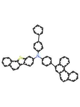 c1ccc(-c2ccc(N(c3ccc(-c4cc5ccc6ccccc6c5c5ccccc45)cc3)c3ccc4c(c3)sc3c5ccccc5ccc43)cc2)cc1